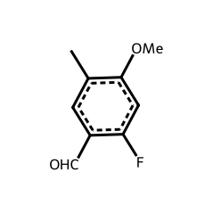 COc1cc(F)c(C=O)cc1C